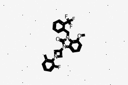 COc1cccc2c1n(Cc1ccccc1C(F)(F)F)c(=O)n2C1CN(c2c(C)cccc2F)C1